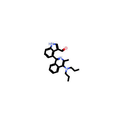 CCCN(CCC)c1c(C)nc(-c2cccc3[nH]cc(C=O)c23)c2ccccc12